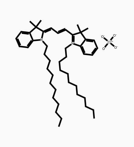 CCCCCCCCCCCCN1/C(=C\C=C\C2=[N+](CCCCCCCCCCCC)c3ccccc3C2(C)C)C(C)(C)c2ccccc21.[O-][Cl+3]([O-])([O-])[O-]